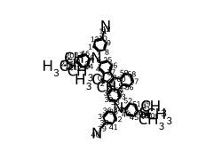 CC1(C)c2cc(N(c3ccc(C#N)cc3)c3ccc([Si](C)(C)C)cc3)ccc2-c2c1c1ccc(N(c3ccc(C#N)cc3)c3ccc([Si](C)(C)C)cc3)cc1c1ccccc21